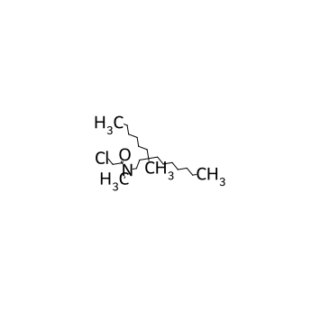 CCCCCCCC(C)(CCCCCC)CCN(C)C(=O)CCl